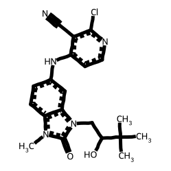 Cn1c(=O)n(CC(O)C(C)(C)C)c2cc(Nc3ccnc(Cl)c3C#N)ccc21